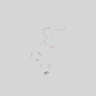 Cc1cc(C)cc(N(Cc2cccc(-c3cccnc3)c2)C(=O)O)c1